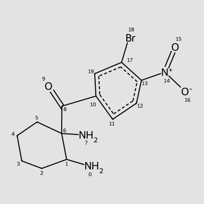 NC1CCCCC1(N)C(=O)c1ccc([N+](=O)[O-])c(Br)c1